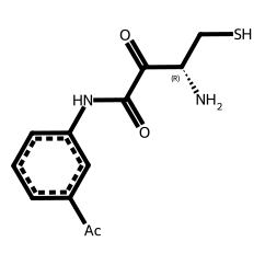 CC(=O)c1cccc(NC(=O)C(=O)[C@@H](N)CS)c1